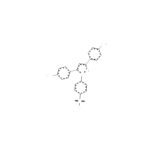 Cc1ccc(-c2cc(-c3ccc(O)cc3)nn2-c2ccc(S(N)(=O)=O)cc2)cc1